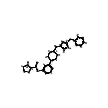 O=C(Oc1cccc(C2CCN(Cc3cn(Cc4ccccn4)nn3)CC2)c1)C1CCCN1